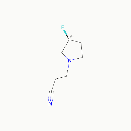 N#CCCN1CC[C@H](F)C1